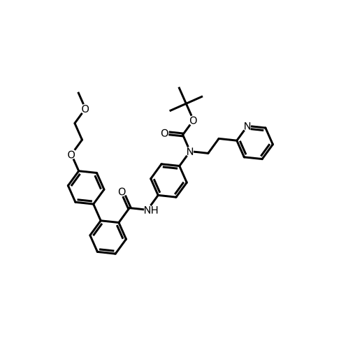 COCCOc1ccc(-c2ccccc2C(=O)Nc2ccc(N(CCc3ccccn3)C(=O)OC(C)(C)C)cc2)cc1